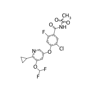 CS(=O)(=O)NC(=O)c1cc(Cl)c(Oc2cnc(C3CC3)c(OC(F)F)c2)cc1F